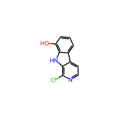 Oc1cccc2c1[nH]c1c(Cl)nccc12